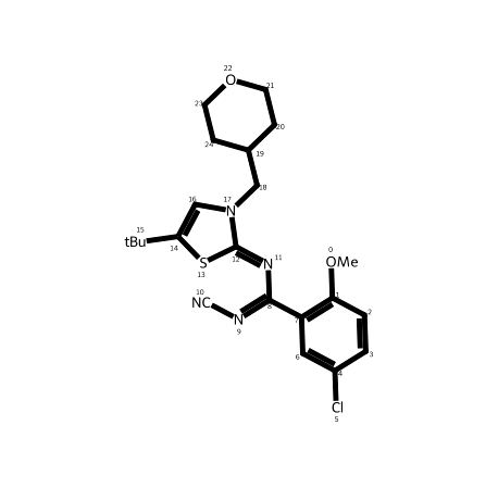 COc1ccc(Cl)cc1C(=NC#N)N=c1sc(C(C)(C)C)cn1CC1CCOCC1